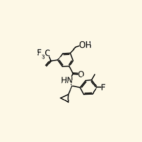 C=C(c1cc(CO)cc(C(=O)N[C@H](c2ccc(F)c(C)c2)C2CC2)c1)C(F)(F)F